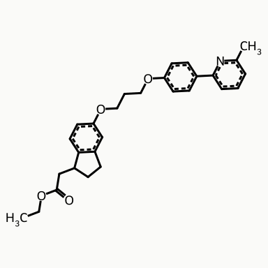 CCOC(=O)CC1CCc2cc(OCCCOc3ccc(-c4cccc(C)n4)cc3)ccc21